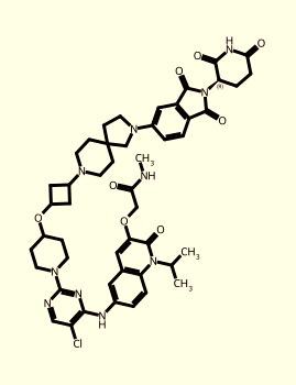 CNC(=O)COc1cc2cc(Nc3nc(N4CCC(OC5CC(N6CCC7(CCN(c8ccc9c(c8)C(=O)N([C@@H]8CCC(=O)NC8=O)C9=O)C7)CC6)C5)CC4)ncc3Cl)ccc2n(C(C)C)c1=O